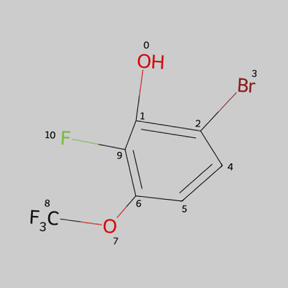 Oc1c(Br)ccc(OC(F)(F)F)c1F